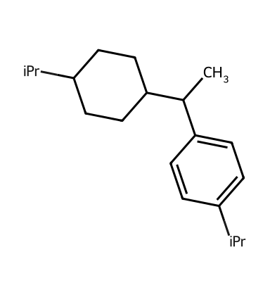 CC(C)c1ccc(C(C)C2CCC(C(C)C)CC2)cc1